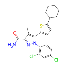 Cc1c(C(N)=O)nn(-c2ccc(Cl)cc2Cl)c1-c1ccc(C2CCCCC2)s1